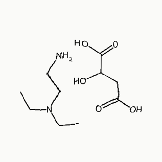 CCN(CC)CCN.O=C(O)CC(O)C(=O)O